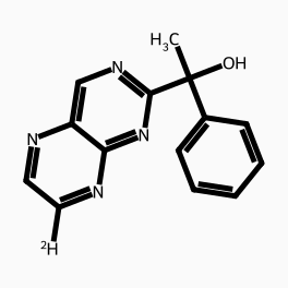 [2H]c1cnc2cnc(C(C)(O)c3ccccc3)nc2n1